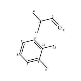 CC(C)C=O.Cc1ccccc1C